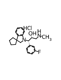 CNC[C@@H](O)[C@H](c1cccc(F)c1)N1CC2(CCCC2)c2ccccc21.Cl